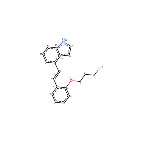 ClCCCOc1ccccc1/C=C/c1cccc2[nH]ccc12